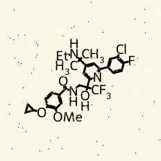 CCNC(C)(C)c1cc(-c2ccc(F)c(Cl)c2)nc(C(O)(CNC(=O)c2ccc(OC3CC3)c(OC)c2)C(F)(F)F)c1